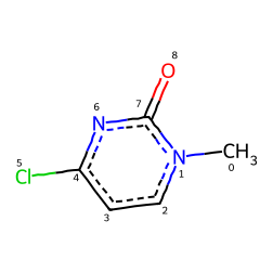 Cn1ccc(Cl)nc1=O